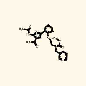 CC(C)(C)OC(=O)N(CCOc1ccccc1-c1cc(C(N)=O)c(NC(N)=O)s1)Cc1ccccn1